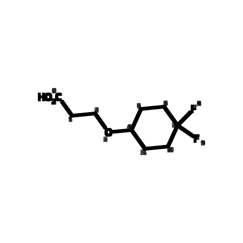 O=C(O)CCOC1CCC(F)(F)CC1